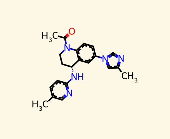 CC(=O)N1CC[C@@H](Nc2ccc(C)cn2)c2cc(-n3cnc(C)c3)ccc21